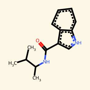 CC(C)C(C)NC(=O)c1c[nH]c2ccccc12